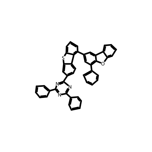 c1ccc(-c2nc(-c3ccccc3)nc(-c3ccc4c(c3)sc3cccc(-c5cc(-c6ccccc6)c6oc7ccccc7c6c5)c34)n2)cc1